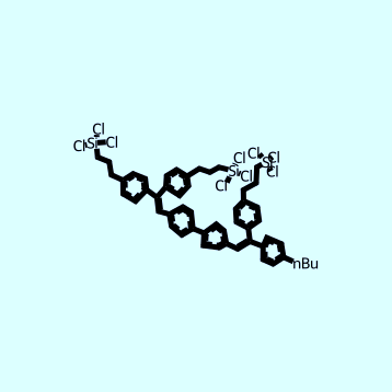 CCCCc1ccc(/C(=C/c2ccc(-c3ccc(C=C(c4ccc(CCC[Si](Cl)(Cl)Cl)cc4)c4ccc(CCC[Si](Cl)(Cl)Cl)cc4)cc3)cc2)c2ccc(CCC[Si](Cl)(Cl)Cl)cc2)cc1